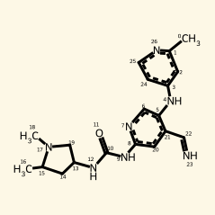 Cc1cc(Nc2cnc(NC(=O)NC3CC(C)N(C)C3)cc2C=N)ccn1